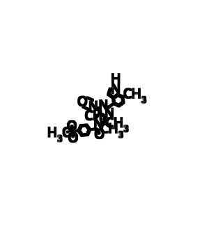 Cc1ccc(-c2nc(N3CCOCC3C)c3c(n2)C(C)(C)N(C(=O)c2ccc(S(C)(=O)=O)cc2)C3)c2cc[nH]c12